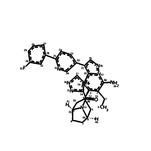 CCc1c([C@H]2C[C@H]3CC[C@@H](C2)N3C(=O)c2nnc[nH]2)nc2c(-c3ccc(-c4cccc(F)c4)nc3)cnn2c1N